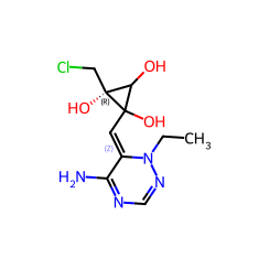 CCN1N=CN=C(N)/C1=C/C1(O)C(O)[C@]1(O)CCl